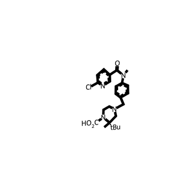 CN(C(=O)c1ccc(Cl)nc1)c1ccc(CN2CCN(C(=O)O)[C@@](C)(C(C)(C)C)C2)cc1